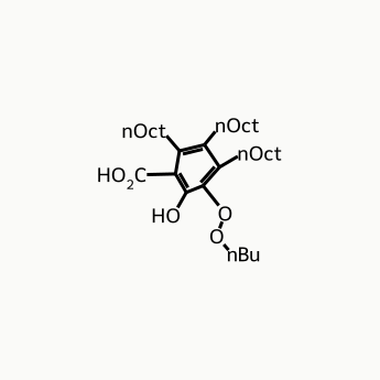 CCCCCCCCc1c(CCCCCCCC)c(OOCCCC)c(O)c(C(=O)O)c1CCCCCCCC